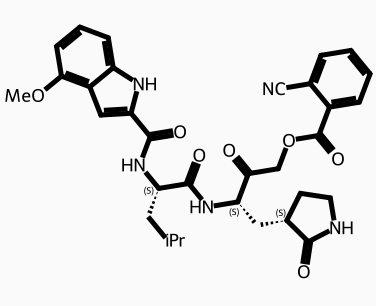 COc1cccc2[nH]c(C(=O)N[C@@H](CC(C)C)C(=O)N[C@@H](C[C@@H]3CCNC3=O)C(=O)COC(=O)c3ccccc3C#N)cc12